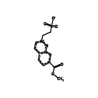 COC(=O)c1ccc2cc[n+](CCS(=O)(=O)[O-])nc2c1